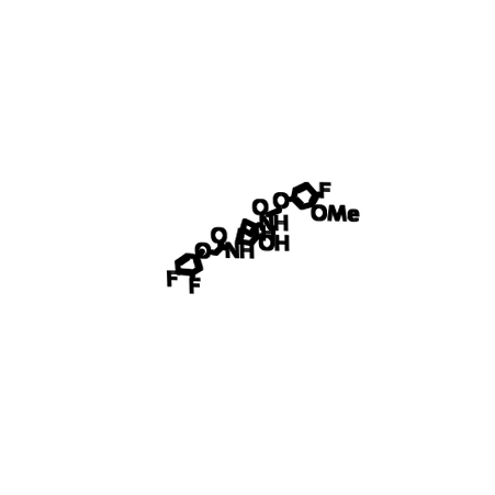 COc1cc(OCC(=O)NC23CC(=C(NC(=O)COc4ccc(F)c(F)c4)C[C@@H]2O)C3)ccc1F